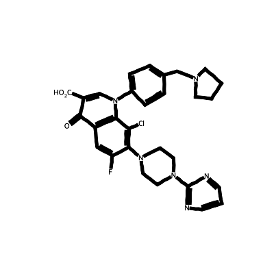 O=C(O)c1cn(-c2ccc(CN3CCCC3)cc2)c2c(Cl)c(N3CCN(c4ncccn4)CC3)c(F)cc2c1=O